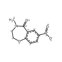 CN1CCOc2ccc([N+](=O)[O-])cc2C1=O